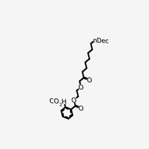 CCCCCCCCCCCCCCCCCC(=O)COCCOC(=O)c1ccccc1C(=O)O